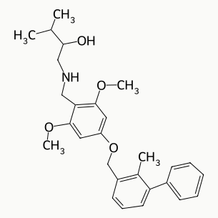 COc1cc(OCc2cccc(-c3ccccc3)c2C)cc(OC)c1CNCC(O)C(C)C